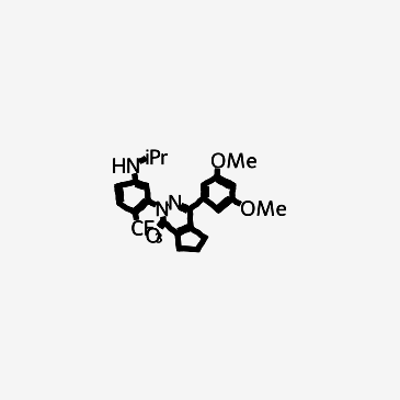 COc1cc(OC)cc(-c2nn(-c3cc(NC(C)C)ccc3C(F)(F)F)c(=O)c3c2CCC3)c1